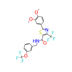 COc1ccc(-c2nc(C(F)(F)F)c(C(=O)NCc3cccc(OC(F)(F)F)c3)s2)cc1OC